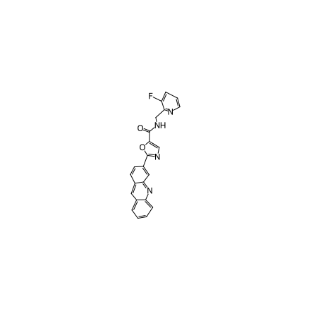 O=C(NCc1ncccc1F)c1cnc(-c2ccc3cc4ccccc4nc3c2)o1